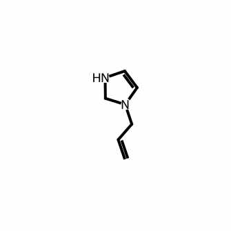 C=CCN1C=CNC1